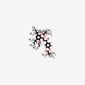 CCCOc1c(C(C)(C)CC)cc(C(C)(C)CC)c(OC(=O)C(C)(C)C)c1/C=C/C(=O)c1ccc(OC(=O)C(C)(C)C)cc1